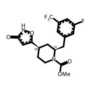 COC(=O)N1CC[C@@H](c2cc(=O)[nH]o2)C[C@H]1Cc1cc(F)cc(C(F)(F)F)c1